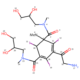 CNC1(C(=O)N(C)CC(O)CO)C(I)=C(C(=O)CN)C(I)=C(C(=O)N(C)CC(O)CO)C1I